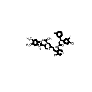 Cc1cc2nc(C3COC(CCc4c(F)cncc4NC(=O)C[C@H](c4cccc(F)c4)c4ccc(Cl)c(F)c4)CN3C(=O)O)[nH]c2cc1C